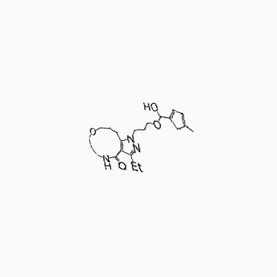 CCc1nn(CCCOC(O)C2=CC=C(C)C2)c2c1C(=O)NCCCOCCC2